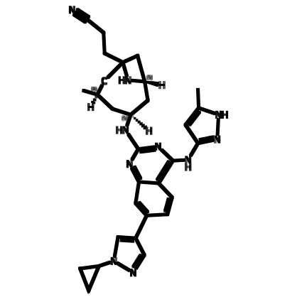 Cc1cc(Nc2nc(N[C@H]3C[C@@H](C)CC4(CCC#N)C[C@H](C3)N4)nc3cc(-c4cnn(C5CC5)c4)ccc23)n[nH]1